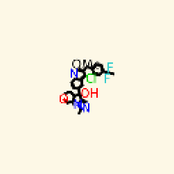 COc1nc2ccc(C(O)(c3cnc(C)n3C)C3CCOCC3)cc2c(Cl)c1Cc1ccc(C(C)(F)F)cc1